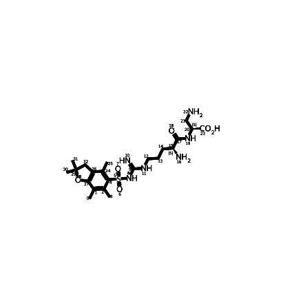 Cc1c(C)c(S(=O)(=O)NC(=N)NCCC[C@H](N)C(=O)N[C@@H](CN)C(=O)O)c(C)c2c1OC(C)(C)C2